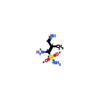 C/C(C=N)=C(/N)S(N)(=O)=O